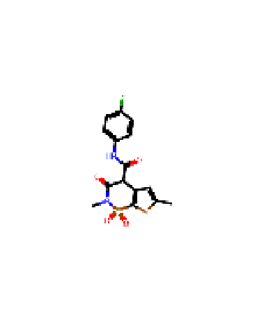 Cc1cc2c(s1)S(=O)(=O)N(C)C(=O)C2C(=O)Nc1ccc(F)cc1